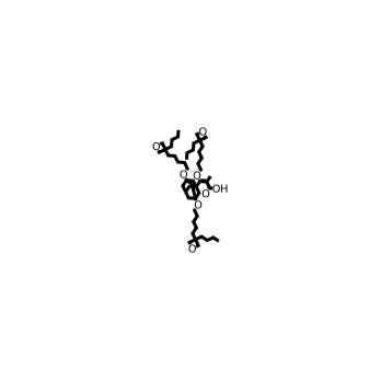 CCCCC1(CCCCCOC(=C(C)C(=O)O)C23CC4CC(OCCCCCC5(CCCC)COC5)(CC(OCCCCCC5(CCCC)COC5)(C4)C2)C3)COC1